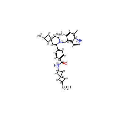 COc1cc(C)c2[nH]ccc2c1CN1CCC2(CC(C#N)C2)CC1c1ccc(C(=O)NC2CC3(C2)CC(C(=O)O)C3)cc1